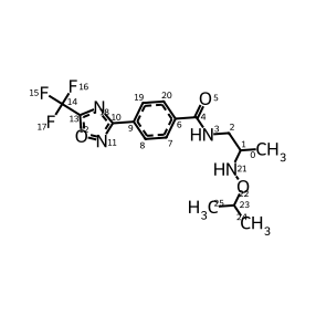 CC(CNC(=O)c1ccc(-c2noc(C(F)(F)F)n2)cc1)NOC(C)C